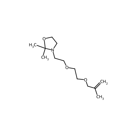 C=C(C)COCCOCCN1CCOC1(C)C